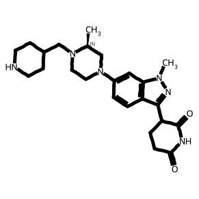 C[C@H]1CN(c2ccc3c(C4CCC(=O)NC4=O)nn(C)c3c2)CCN1CC1CCNCC1